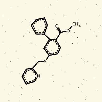 COC(=O)c1ccc(SCc2ccccn2)cc1-c1ccccc1